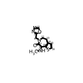 CNC1C(=O)N(Cc2nnco2)CCc2ccsc21